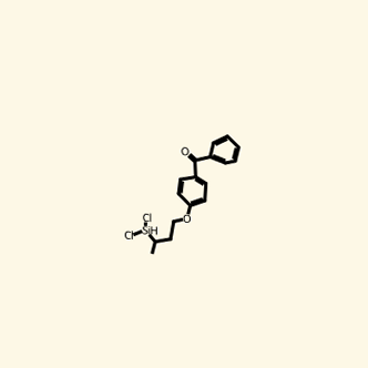 CC(CCOc1ccc(C(=O)c2ccccc2)cc1)[SiH](Cl)Cl